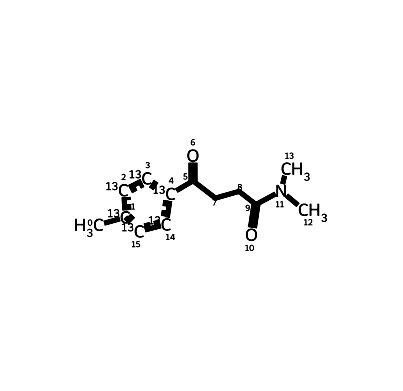 C[13c]1[13cH][13cH][13c](C(=O)CCC(=O)N(C)C)[13cH][13cH]1